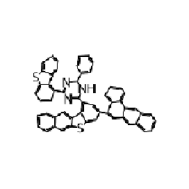 c1ccc(C2N=C(c3cccc4sc5ccccc5c34)N=C(c3cc(-c4cc5cc6ccccc6cc5c5ccccc45)cc4sc5cc6ccccc6cc5c34)N2)cc1